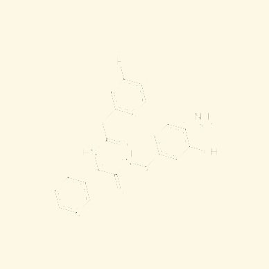 Cc1cc(CNC(=O)C(NC(=O)Cc2cccc(F)c2)c2ccccc2)ccc1N